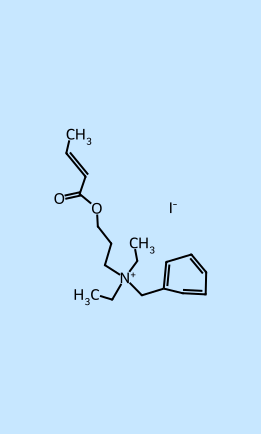 CC=CC(=O)OCCC[N+](CC)(CC)Cc1ccccc1.[I-]